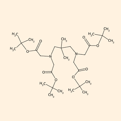 CC(C)(CN(CC(=O)OC(C)(C)C)CC(=O)OC(C)(C)C)CN(CC(=O)OC(C)(C)C)CC(=O)OC(C)(C)C